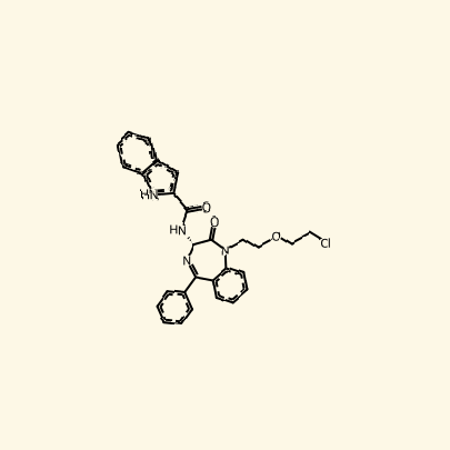 O=C(N[C@H]1N=C(c2ccccc2)c2ccccc2N(CCOCCCl)C1=O)c1cc2ccccc2[nH]1